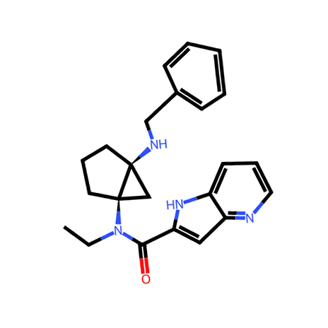 CCN(C(=O)c1cc2ncccc2[nH]1)[C@@]12CCC[C@]1(NCc1ccccc1)C2